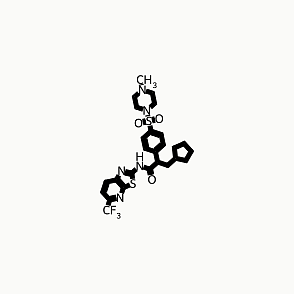 CN1CCN(S(=O)(=O)c2ccc(C(CC3CCCC3)C(=O)Nc3nc4ccc(C(F)(F)F)nc4s3)cc2)CC1